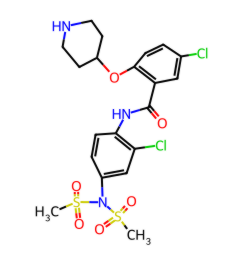 CS(=O)(=O)N(c1ccc(NC(=O)c2cc(Cl)ccc2OC2CCNCC2)c(Cl)c1)S(C)(=O)=O